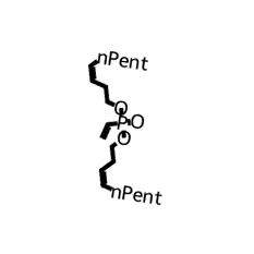 C=CP(=O)(OCC/C=C\CCCCC)OCC/C=C\CCCCC